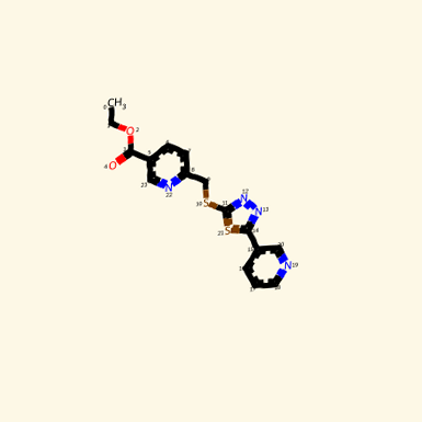 CCOC(=O)c1ccc(CSc2nnc(-c3cccnc3)s2)nc1